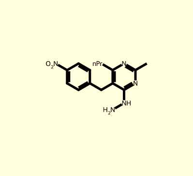 CCCc1nc(C)nc(NN)c1Cc1ccc([N+](=O)[O-])cc1